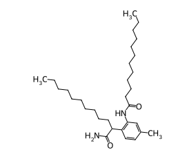 CCCCCCCCCCCC(=O)Nc1cc(C)ccc1C(CCCCCCCCCC)C(N)=O